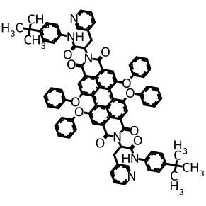 CC(C)(C)c1ccc(NC(=O)C(Cc2cccnc2)N2C(=O)c3cc(Oc4ccccc4)c4c5c(Oc6ccccc6)cc6c7c(cc(Oc8ccccc8)c(c8c(Oc9ccccc9)cc(c3c48)C2=O)c75)C(=O)N(C(Cc2cccnc2)C(=O)Nc2ccc(C(C)(C)C)cc2)C6=O)cc1